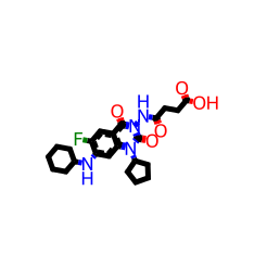 O=C(O)CCC(=O)Nn1c(=O)c2cc(F)c(NC3CCCCC3)cc2n(C2CCCC2)c1=O